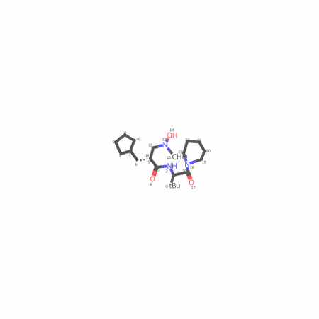 CC(C)(C)C(NC(=O)[C@H](CC1CCCC1)CN(O)C=O)C(=O)N1CCCCC1